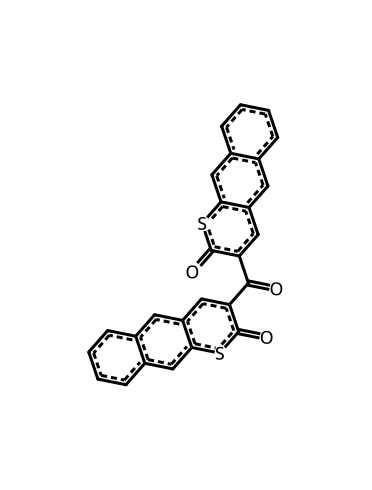 O=C(c1cc2cc3ccccc3cc2sc1=O)c1cc2cc3ccccc3cc2sc1=O